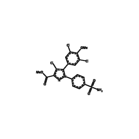 COC(=O)c1nn(-c2ccc(S(N)(=O)=O)cc2)c(-c2cc(Cl)c(OC)c(Cl)c2)c1Cl